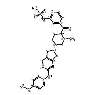 C[C@@H]1C[C@H](N2Cc3cnc(Nc4ccc(OC(F)(F)F)cc4)nc3C2)CCN1C(=O)c1ccnc(NS(C)(=O)=O)c1